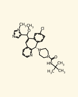 COC(C1=Cc2cccnc2[C@@H](N2CCN(C(=O)NC(C)(C)C)CC2)c2ccc(Cl)cc21)c1cncn1C